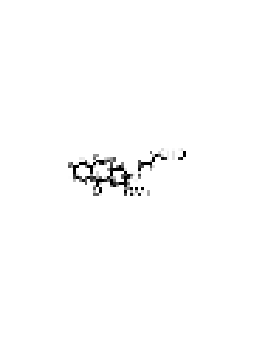 COc1cc2c(cc1OCCCC=O)N=CC1CCCCN1C2=O